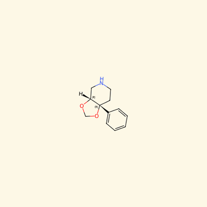 c1ccc([C@]23CCNC[C@H]2OCO3)cc1